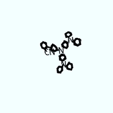 N#Cc1ccccc1-c1ccc(N(c2ccc(N(c3ccccc3)c3ccccc3)cc2)c2ccc(N(c3ccccc3)c3ccccc3)cc2)cc1